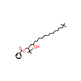 CC(C)(C)CCCCCCCCCCCCC(O)CC(COC(=O)c1ccccc1)C(C)(C)C